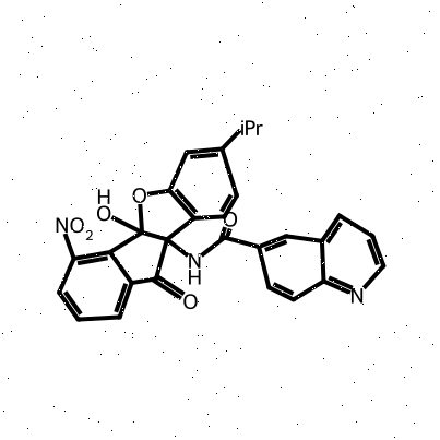 CC(C)c1ccc2c(c1)OC1(O)c3c(cccc3[N+](=O)[O-])C(=O)C21NC(=O)c1ccc2ncccc2c1